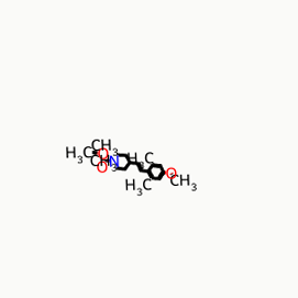 COc1cc(C)c(/C=C/C2CCN(C(=O)OC(C)(C)C)CC2)c(C)c1